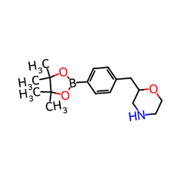 CC1(C)OB(c2ccc(CC3CNCCO3)cc2)OC1(C)C